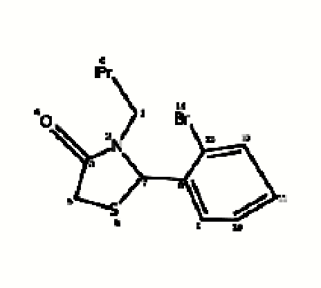 CC(C)CN1C(=O)CSC1c1ccccc1Br